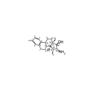 Cc1ccc2c(c1)CCC1C2CC[C@@]2(C)[C@H]1[C@H](C)C(N)[C@@H]2O